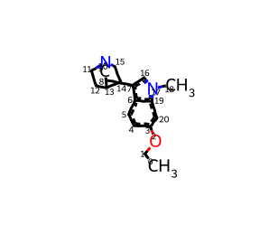 CCOc1ccc2c(C3CN4CCC3CC4)cn(C)c2c1